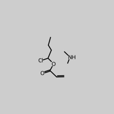 C=CC(=O)OC(Cl)CCC.CNC